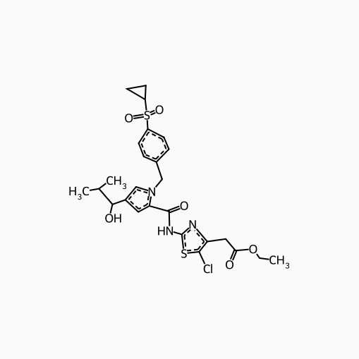 CCOC(=O)Cc1nc(NC(=O)c2cc(C(O)C(C)C)cn2Cc2ccc(S(=O)(=O)C3CC3)cc2)sc1Cl